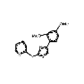 COc1ccc(-c2csc(Nc3ccccn3)n2)c(OC)c1